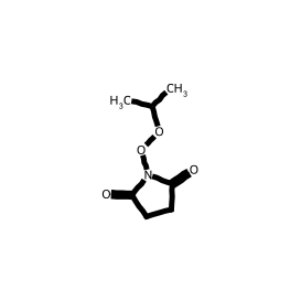 CC(C)OON1C(=O)CCC1=O